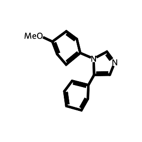 COc1ccc(-n2cncc2-c2ccccc2)cc1